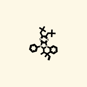 C=CC1(C)c2ccccc2N2c3nc(CC(C)(C)C)c(CC(C)(C)C)nc3N(c3ccccc3)C2C1C